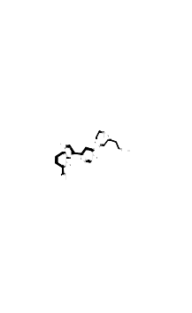 OCCC1CN(c2cc(-c3cnc4ccc(C(F)F)nn34)ncn2)CCN1